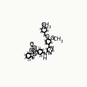 COc1cc(-c2cc(Nc3ccc(N(OC=O)S(=O)(=O)c4ccccc4F)cc3)ncn2)ccc1OCC1CCN(C)CC1